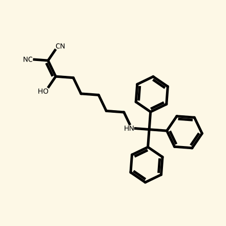 N#CC(C#N)=C(O)CCCCCNC(c1ccccc1)(c1ccccc1)c1ccccc1